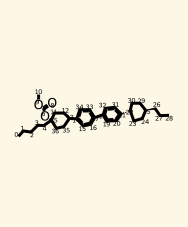 CCCCCC1(OC(=O)OC)CCC(c2ccc(-c3ccc([C@H]4CC[C@H](CCC)CC4)cc3)cc2)CC1